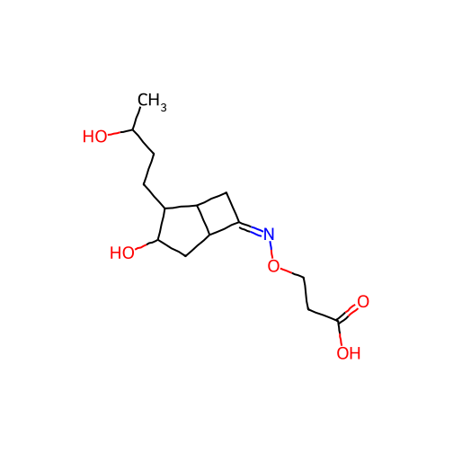 CC(O)CCC1C(O)CC2C(=NOCCC(=O)O)CC21